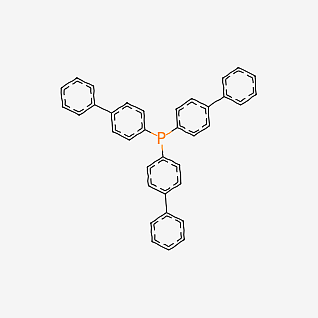 c1ccc(-c2ccc(P(c3ccc(-c4ccccc4)cc3)c3ccc(-c4ccccc4)cc3)cc2)cc1